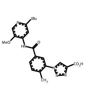 COc1cnc(C(C)(C)C)cc1NC(=O)c1ccc(C)c(-n2cc(C(=O)O)nn2)c1